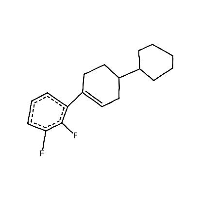 Fc1cccc(C2=CCC(C3CCCCC3)CC2)c1F